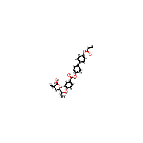 C=CC(=O)Oc1ccc(-c2ccc(OC(=O)c3ccc(OC(CCC)C4CC(=C)C(=O)O4)cc3)cc2)cc1